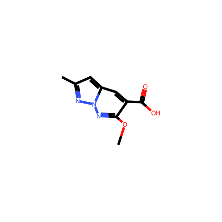 COc1nn2nc(C)cc2cc1C(=O)O